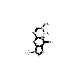 CN(C)/C=N\c1nc2c(ncn2C)c(=O)[nH]1